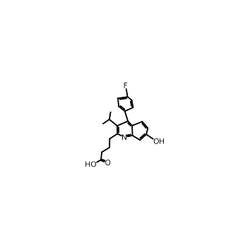 CC(C)c1c(CCCC(=O)O)nc2cc(O)ccc2c1-c1ccc(F)cc1